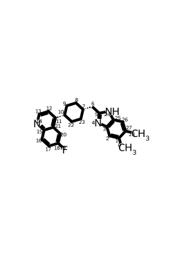 Cc1cc2nc(C[C@H]3CC[C@@H](c4ccnc5ccc(F)cc54)CC3)[nH]c2cc1C